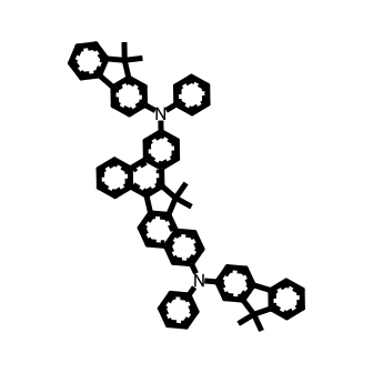 CC1(C)c2ccccc2-c2ccc(N(c3ccccc3)c3ccc4c5c(ccc4c3)-c3c(c4ccc(N(c6ccccc6)c6ccc7c(c6)C(C)(C)c6ccccc6-7)cc4c4ccccc34)C5(C)C)cc21